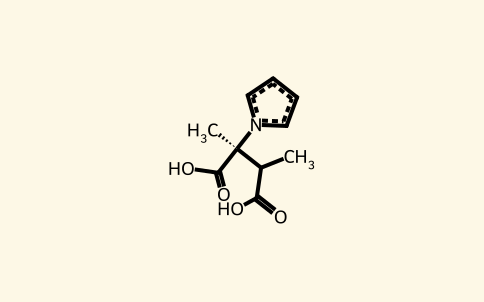 CC(C(=O)O)[C@@](C)(C(=O)O)n1cccc1